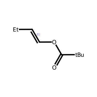 CC/C=C/OC(=O)C(C)(C)C